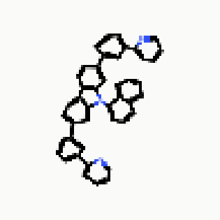 c1ccc(-c2cccc(-c3ccc4c5ccc(-c6cccc(-c7ccccn7)c6)cc5n(-c5cccc6ccccc56)c4c3)c2)nc1